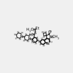 CCN(C)SNc1cc(-c2ccc3ncc4c(c3c2)C2(CCC2)C(=O)N4C)cnc1N1CCC(N2CCCCC2)CC1